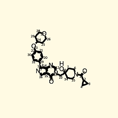 O=C(C1CC1)N1CCC(O)(Cn2cnc3c(cnn3-c3ccc(OC4CCOCC4)cc3)c2=O)CC1